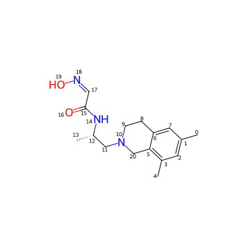 Cc1cc(C)c2c(c1)CCN(C[C@H](C)NC(=O)/C=N\O)C2